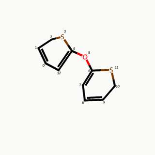 C1=CCSC(OC2=CC=CCS2)=C1